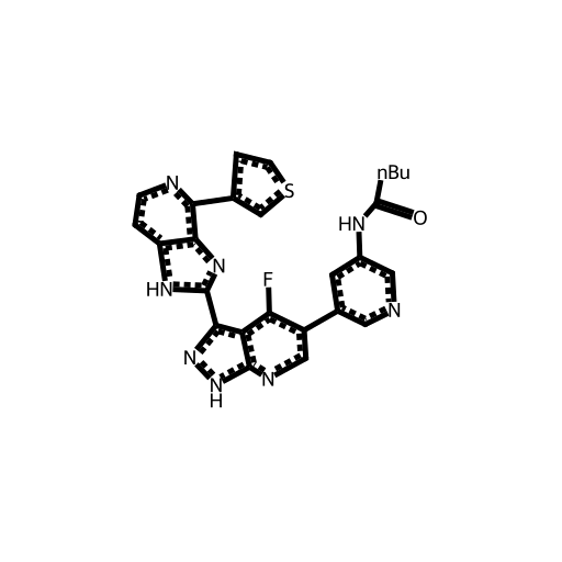 CCCCC(=O)Nc1cncc(-c2cnc3[nH]nc(-c4nc5c(-c6ccsc6)nccc5[nH]4)c3c2F)c1